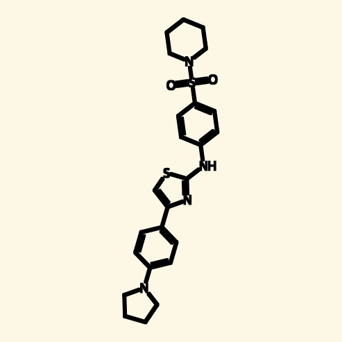 O=S(=O)(c1ccc(Nc2nc(-c3ccc(N4CCCC4)cc3)cs2)cc1)N1CCCCC1